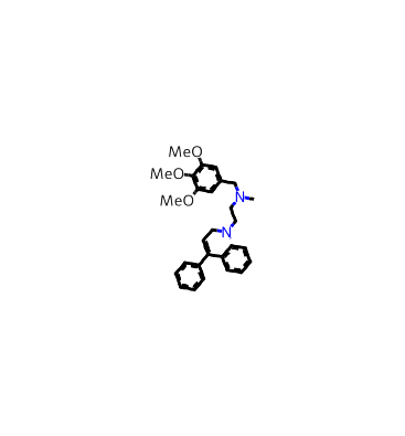 COc1cc(CN(C)CCN(C)CC=C(c2ccccc2)c2ccccc2)cc(OC)c1OC